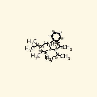 CC(C)P(CN(CP(C(C)C)C(C)C)c1ccccc1)C(C)C